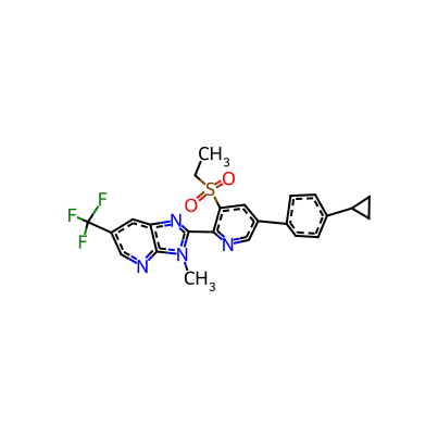 CCS(=O)(=O)c1cc(-c2ccc(C3CC3)cc2)cnc1-c1nc2cc(C(F)(F)F)cnc2n1C